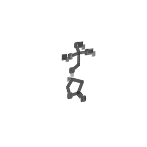 CC(C)(C)CO[C@H]1COC(=O)C1